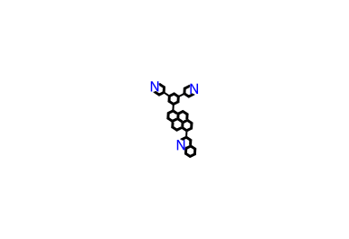 c1ccc2ncc(-c3ccc4ccc5c(-c6cc(-c7ccncc7)cc(-c7ccncc7)c6)ccc6ccc3c4c65)cc2c1